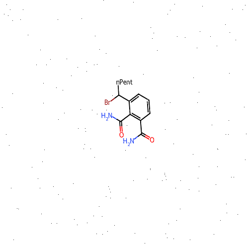 CCCCCC(Br)c1cccc(C(N)=O)c1C(N)=O